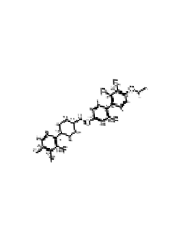 CCOc1ccc(-c2ccc(OCC3CCC(c4ccc(C)c(F)c4F)CC3)cc2F)c(F)c1F